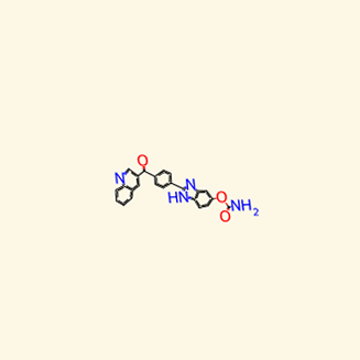 NC(=O)Oc1ccc2[nH]c(-c3ccc(C(=O)c4cnc5ccccc5c4)cc3)nc2c1